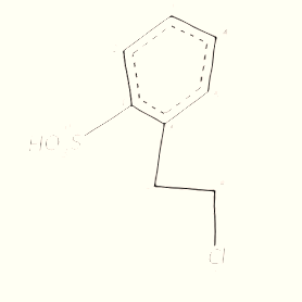 O=S(=O)(O)c1ccccc1CCCl